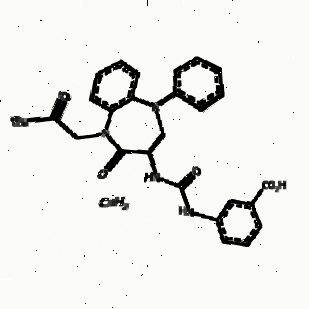 CC(C)(C)C(=O)CN1C(=O)C(NC(=O)Nc2cccc(C(=O)O)c2)CN(c2ccccc2)c2ccccc21.[CaH2]